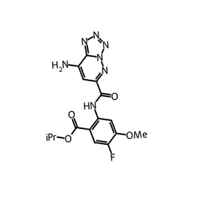 COc1cc(NC(=O)c2cc(N)c3nnnn3n2)c(C(=O)OC(C)C)cc1F